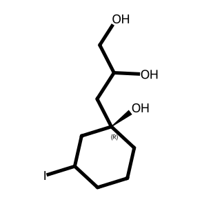 OCC(O)C[C@]1(O)CCCC(I)C1